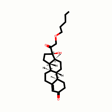 CCCCCOCC(=O)[C@@]1(O)CC[C@H]2[C@@H]3CCC4=CC(=O)CC[C@]4(C)[C@H]3CC[C@@]21C